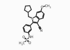 COc1ccc2c(C#N)c(-c3cccc(NS(C)(=O)=O)c3)n(CC3CCCC3)c2c1